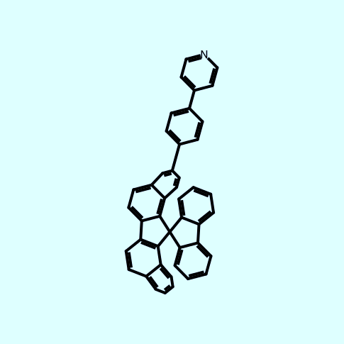 c1ccc2c(c1)-c1ccccc1C21c2c(ccc3ccccc23)-c2ccc3cc(-c4ccc(-c5ccncc5)cc4)ccc3c21